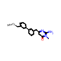 COCc1cccc(-c2cccc(Cc3cc(=O)n(C)c(N)n3)c2)c1